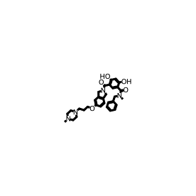 CN1CCN(CCCOc2ccc3c(c2)CN(C(=O)c2cc(C(=O)N(C)Cc4ccccc4)c(O)cc2O)C3)CC1